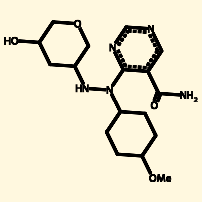 COC1CCC(N(NC2COCC(O)C2)c2ncncc2C(N)=O)CC1